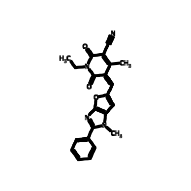 CCN1C(=O)C(C#N)=C(C)/C(=C/c2cc3c(nc(-c4ccccc4)n3C)o2)C1=O